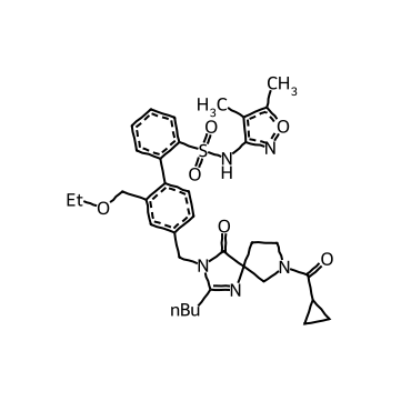 CCCCC1=NC2(CCN(C(=O)C3CC3)C2)C(=O)N1Cc1ccc(-c2ccccc2S(=O)(=O)Nc2noc(C)c2C)c(COCC)c1